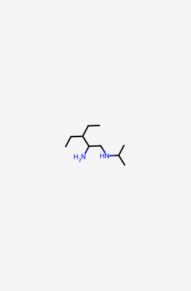 CCC(CC)C(N)CNC(C)C